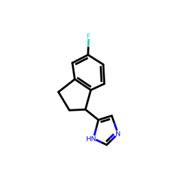 Fc1ccc2c(c1)CCC2c1cnc[nH]1